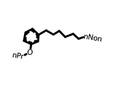 [CH2][CH]COc1cccc(CCCCCCCCCCCCCCC)c1